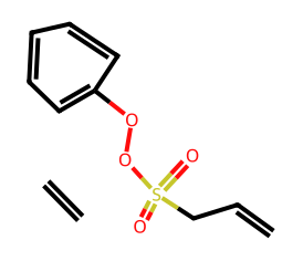 C=C.C=CCS(=O)(=O)OOc1ccccc1